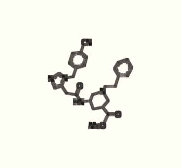 COC(=O)C1CC(NC(=O)Cc2cncn2Cc2ccc(C#N)cc2)CN(CCc2ccccc2)C1